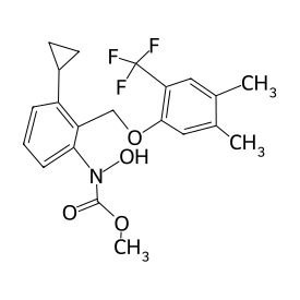 COC(=O)N(O)c1cccc(C2CC2)c1COc1cc(C)c(C)cc1C(F)(F)F